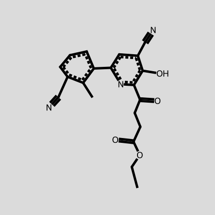 CCOC(=O)CCC(=O)c1nc(-c2cccc(C#N)c2C)cc(C#N)c1O